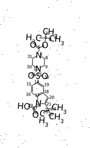 CC(C)(C)OC(=O)N1CCN(S(=O)(=O)c2ccc3c(c2)cc(C(C)(C)C)n3C(=O)O)CC1